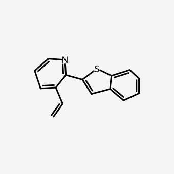 C=Cc1cccnc1-c1cc2ccccc2s1